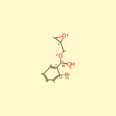 O[C@H](OCC1CO1)c1ccccc1Br